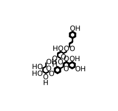 O=C(/C=C/c1ccc(O)cc1)OCC1O[C@@H](Oc2c(-c3ccc(O[C@@H]4OC(CO)[C@@H](O)C(O)C4O)cc3)oc3cc(O)cc(O)c3c2=O)C(O)C=C1O